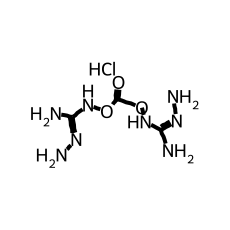 Cl.NN=C(N)NOC(=O)ONC(N)=NN